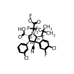 CC(C)(C)C[C@@H]1N(C(F)(F)C(=O)OF)[C@@H](C(=O)O)[C@H](c2cccc(Cl)c2)[C@@]1(C#N)c1cc(F)c(Cl)cc1F